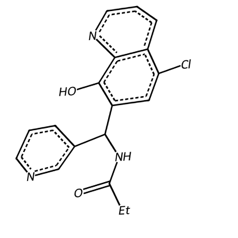 CCC(=O)NC(c1cccnc1)c1cc(Cl)c2cccnc2c1O